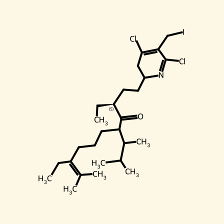 CCC(CCCC(C(=O)[C@@H](CC)CCC1CC(Cl)=C(CI)C(Cl)=N1)C(C)C(C)C)=C(C)C